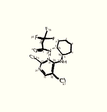 O=C(N[C@@H]1CCCC[C@H]1Nc1nc(Cl)ncc1Cl)C(F)(F)F